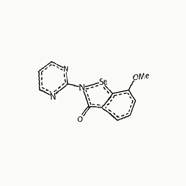 COc1cccc2c(=O)n(-c3ncccn3)[se]c12